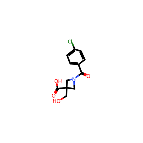 O=C(c1ccc(Cl)cc1)N1CC(CO)(C(=O)O)C1